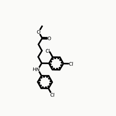 COC(=O)CCCC(Nc1ccc(Cl)cc1)c1ccc(Cl)cc1Cl